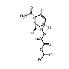 CC1=C[C@@H]2CN(C(=O)N2O[C@H](F)C(=O)OC(C(C)C)C(C)C)[C@@H]1C(N)=O